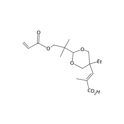 C=CC(=O)OCC(C)(C)C1OCC(C=C(C)C(=O)O)(CC)CO1